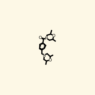 CC1CN(Cc2ccc(C(=O)N3CC(C)OC(C)C3)cc2)CC(C)O1